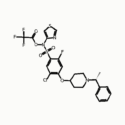 C[C@H](c1ccccc1)N1CCC(Oc2cc(F)c(S(=O)(=O)N(OC(=O)C(F)(F)F)c3cscn3)cc2Cl)CC1